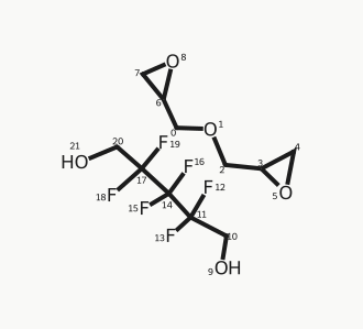 C(OCC1CO1)C1CO1.OCC(F)(F)C(F)(F)C(F)(F)CO